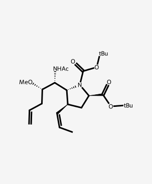 C=CC[C@H](OC)[C@H](NC(C)=O)[C@H]1[C@H](/C=C\C)C[C@H](C(=O)OC(C)(C)C)N1C(=O)OC(C)(C)C